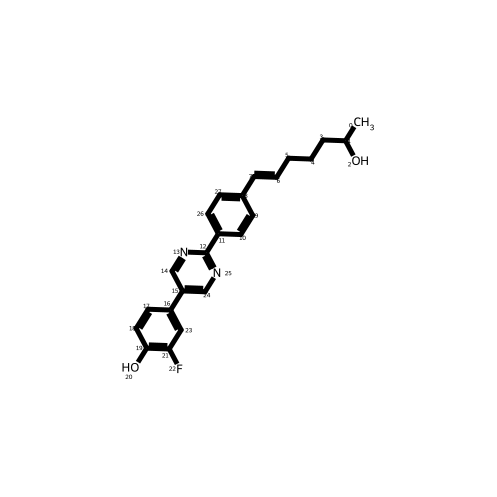 CC(O)CCCC=Cc1ccc(-c2ncc(-c3ccc(O)c(F)c3)cn2)cc1